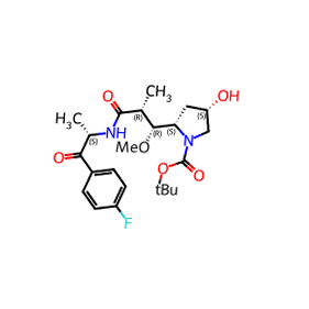 CO[C@H]([C@@H](C)C(=O)N[C@@H](C)C(=O)c1ccc(F)cc1)[C@@H]1C[C@H](O)CN1C(=O)OC(C)(C)C